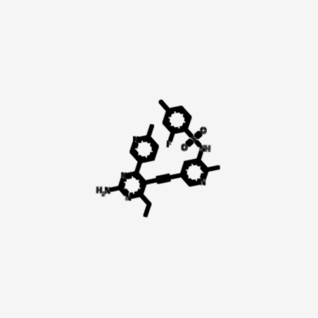 CCc1nc(N)nc(-c2ccc(C)nc2)c1C#Cc1cnc(C)c(NS(=O)(=O)c2ccc(C)cc2F)c1